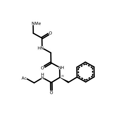 CNCC(=O)NCC(=O)N[C@@H](Cc1ccccc1)C(=O)NCC(C)=O